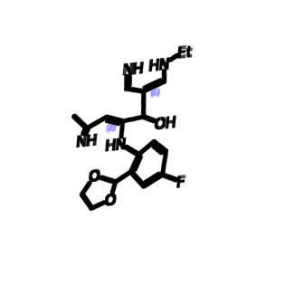 CCN/C=C(\C=N)C(O)/C(=C/C(C)=N)Nc1ccc(F)cc1C1OCCO1